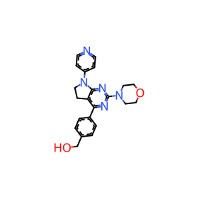 OCc1ccc(-c2nc(N3CCOCC3)nc3c2CCN3c2ccncc2)cc1